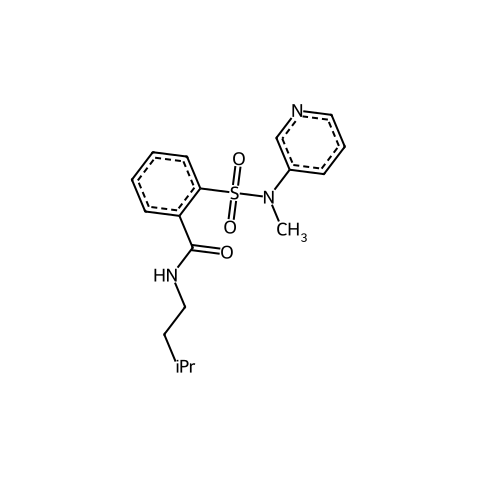 CC(C)CCNC(=O)c1ccccc1S(=O)(=O)N(C)c1cccnc1